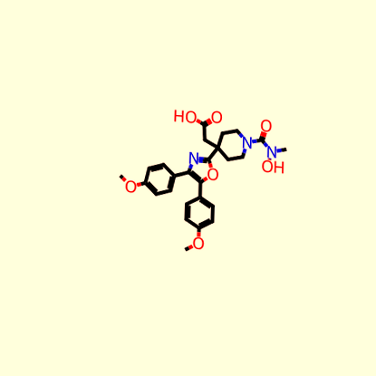 COc1ccc(-c2nc(C3(CC(=O)O)CCN(C(=O)N(C)O)CC3)oc2-c2ccc(OC)cc2)cc1